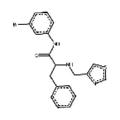 O=C(Nc1cccc(Br)c1)C(Cc1ccccc1)NCc1cscn1